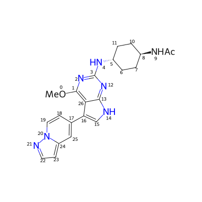 COc1nc(N[C@H]2CC[C@H](NC(C)=O)CC2)nc2[nH]cc(-c3ccn4nccc4c3)c12